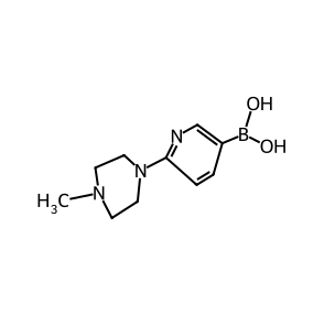 CN1CCN(c2ccc(B(O)O)cn2)CC1